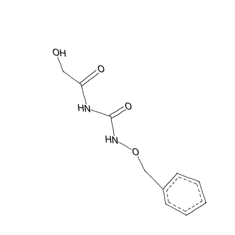 O=C(CO)NC(=O)NOCc1ccccc1